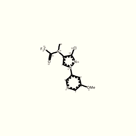 COc1cncc(-n2cc(N(C)C(=O)C(F)(F)F)c(Cl)n2)c1